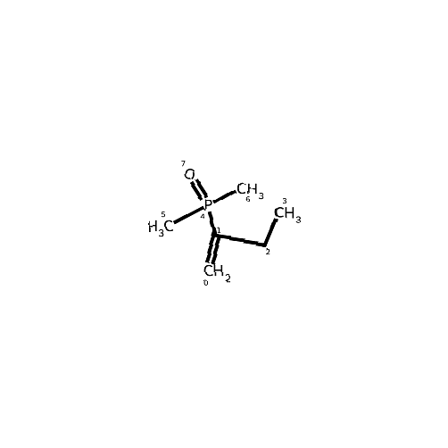 C=C(CC)P(C)(C)=O